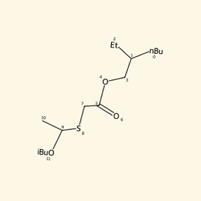 CCCCC(CC)COC(=O)CSC(C)OCC(C)C